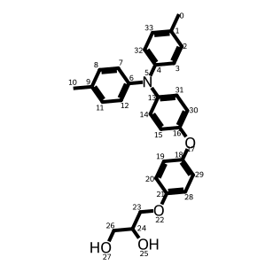 Cc1ccc(N(c2ccc(C)cc2)c2ccc(Oc3ccc(OCC(O)CO)cc3)cc2)cc1